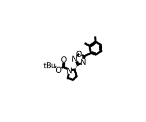 Cc1cccc(-c2nc([C@@H]3CCCN3C(=O)OC(C)(C)C)no2)c1C